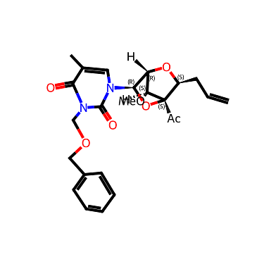 C=CC[C@@H]1O[C@H]2[C@H](n3cc(C)c(=O)n(COCc4ccccc4)c3=O)O[C@]1(C(C)=O)[C@H]2OC